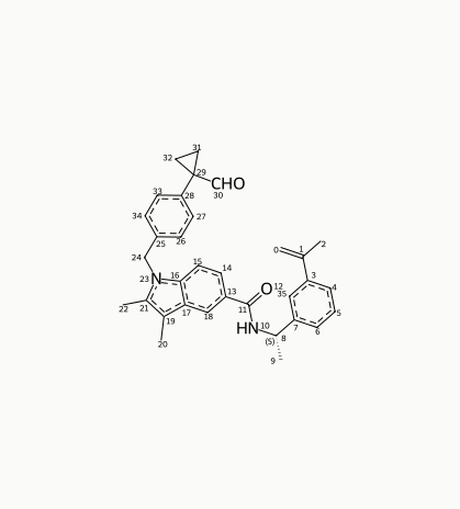 C=C(C)c1cccc([C@H](C)NC(=O)c2ccc3c(c2)c(C)c(C)n3Cc2ccc(C3(C=O)CC3)cc2)c1